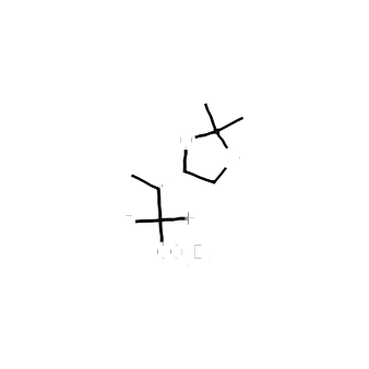 CCOC(=O)C(F)(F)C(C)[C@H]1COC(C)(C)O1